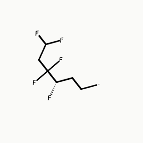 [CH2]CC[C@H](F)C(F)(F)CC(F)F